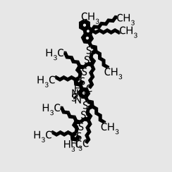 CCCCCCCCC1(CCCCCCCC)c2cc(C)ccc2-c2ccc(-c3cc(CCCCCC)c(-c4cc(CCCCCC)c(-c5sc(-c6sc(-c7ccc(-c8cc(CCCCCC)c(-c9cc(CCCCCC)c(-c%10sc(-c%11sc(C)cc%11CCCCCC)cc%10CCCCCC)s9)s8)c8nsnc78)cc6CCCCCC)cc5CCCCCC)s4)s3)cc21